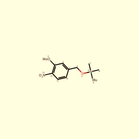 COc1cc(CO[Si](C)(C)C(C)(C)C)ccc1[N+](=O)[O-]